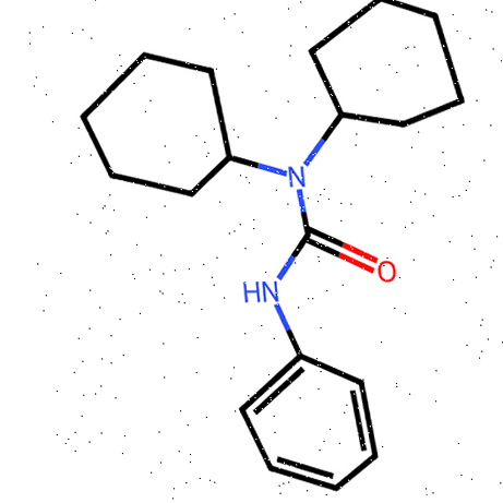 O=C(Nc1ccccc1)N(C1CCCCC1)C1CCCCC1